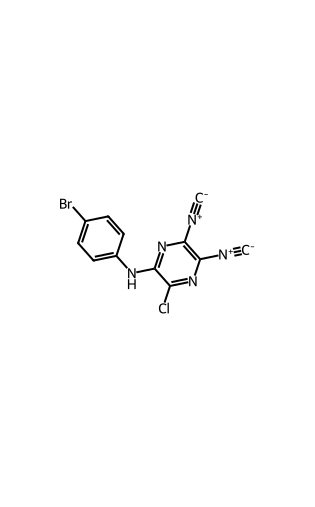 [C-]#[N+]c1nc(Cl)c(Nc2ccc(Br)cc2)nc1[N+]#[C-]